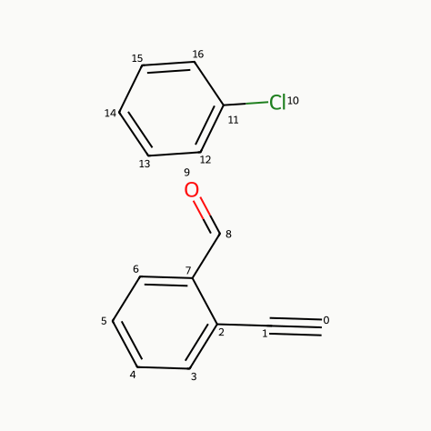 C#Cc1ccccc1C=O.Clc1ccccc1